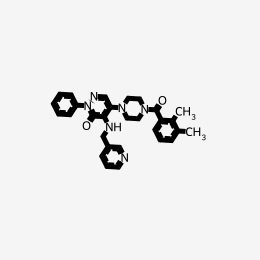 Cc1cccc(C(=O)N2CCN(c3cnn(-c4ccccc4)c(=O)c3NCc3cccnc3)CC2)c1C